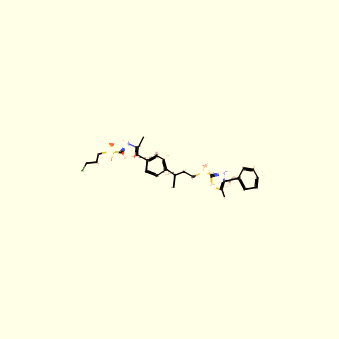 Cc1nc(S(=O)(=O)CCCCl)oc1-c1ccc(C(C)CC[S+]([O-])c2nc(-c3ccccc3)c(C)s2)cc1